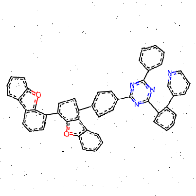 c1ccc(-c2nc(-c3ccc(-c4ccc(-c5cccc6c5oc5ccccc56)c5oc6ccccc6c45)cc3)nc(-c3ccccc3-c3cccnc3)n2)cc1